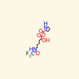 O=C(OC(=O)[C@@H]1CCCN1)C(O)CCCCNC(=O)C(F)(F)F